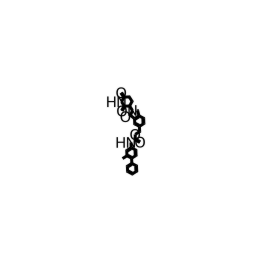 Cc1cc(NC(=O)OCc2ccc3c(c2)C(=O)N(C2CCC(=O)NC2=O)C3)ccc1-c1ccccc1